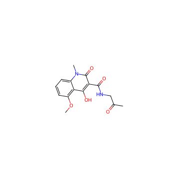 COc1cccc2c1c(O)c(C(=O)NCC(C)=O)c(=O)n2C